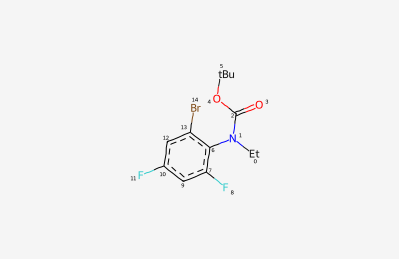 CCN(C(=O)OC(C)(C)C)c1c(F)cc(F)cc1Br